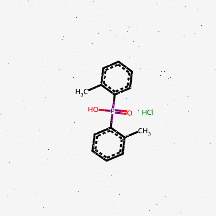 Cc1ccccc1P(=O)(O)c1ccccc1C.Cl